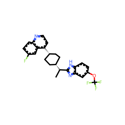 CC(c1nc2cc(OC(F)(F)F)ccc2[nH]1)[C@H]1CC[C@@H](c2ccnc3ccc(F)cc32)CC1